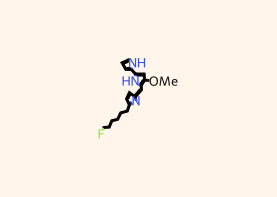 COc1cc(-c2ccc[nH]2)[nH]c1/C=C1\C=CC(CCCCCCF)=N1